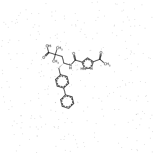 CC(=O)c1cc(C(=O)N[C@H](Cc2ccc(-c3ccccc3)cc2)CC(C)(C)C(=O)O)[nH]n1